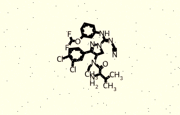 CCN(C(=O)C(N)C(C)C)C1CN(C(=NC#N)Nc2cccc(OC(F)F)c2)N=C1c1ccc(Cl)c(Cl)c1